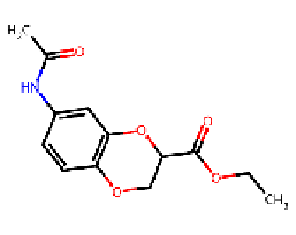 CCOC(=O)C1COc2ccc(NC(C)=O)cc2O1